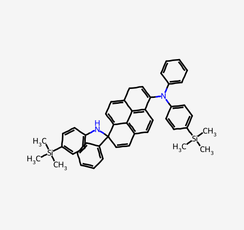 C[Si](C)(C)c1ccc(NC2(c3ccccc3)C=Cc3ccc4c5c(ccc2c35)CC=C4N(c2ccccc2)c2ccc([Si](C)(C)C)cc2)cc1